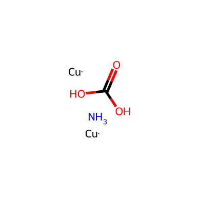 N.O=C(O)O.[Cu].[Cu]